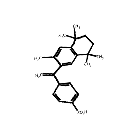 C=C(c1ccc(S(=O)(=O)O)cc1)c1cc2c(cc1C)C(C)(C)CCC2(C)C